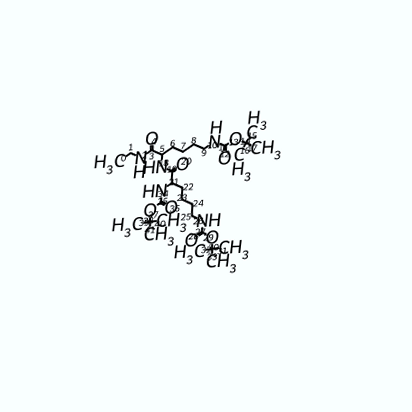 CCNC(=O)C(CCCCNC(=O)OC(C)(C)C)NC(=O)C(CCCCNC(=O)OC(C)(C)C)NC(=O)OC(C)(C)C